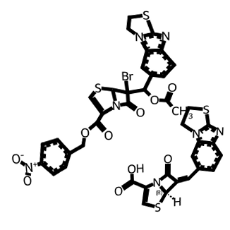 CC(=O)OC(c1ccc2nc3n(c2c1)CCS3)C1(Br)C(=O)N2C(C(=O)OCc3ccc([N+](=O)[O-])cc3)=CSC21.O=C(O)C1=CS[C@@H]2C(=Cc3ccc4nc5n(c4c3)CCS5)C(=O)N12